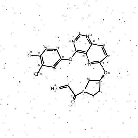 C=CC(=O)N1CC[C@H](Oc2ccc3ncnc(Oc4ccc(Cl)c(Cl)c4)c3n2)C1